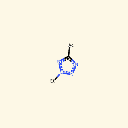 CCn1nnc(C(C)=O)n1